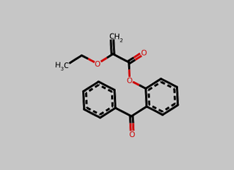 C=C(OCC)C(=O)Oc1ccccc1C(=O)c1ccccc1